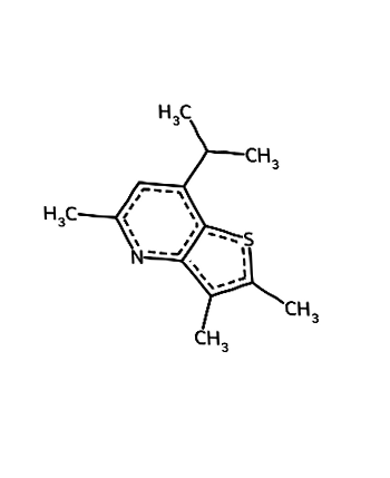 Cc1cc(C(C)C)c2sc(C)c(C)c2n1